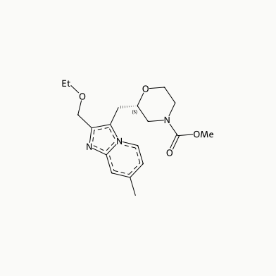 CCOCc1nc2cc(C)ccn2c1C[C@H]1CN(C(=O)OC)CCO1